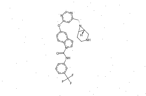 O=C(Nc1cccc(C(F)(F)F)c1)n1ccc2cc(Oc3cc(C[N@@]4C5CCNC[C@H]54)ncn3)ccc21